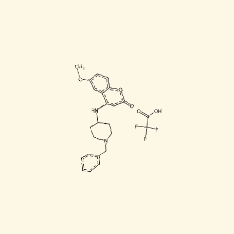 COc1ccc2oc(=O)cc(NC3CCN(Cc4ccccc4)CC3)c2c1.O=C(O)C(F)(F)F